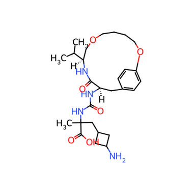 CC(C)[C@H]1COCCCCOc2ccc(cc2)C[C@@H](NC(=O)NC(C)(CC2CC(N)C2)C(=O)O)C(=O)N1